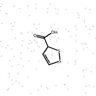 O=C(O)C1C=CSS1